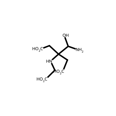 NC(O)C(CC(=O)O)(CC(=O)O)NCC(=O)O